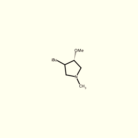 CCC(C)C1CN(C)C[C@H]1OC